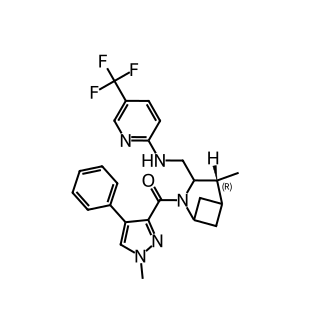 C[C@@H]1C2CC(C2)N(C(=O)c2nn(C)cc2-c2ccccc2)C1CNc1ccc(C(F)(F)F)cn1